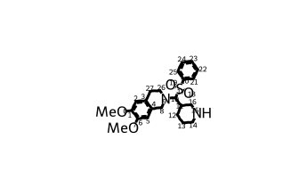 COc1cc2c(cc1OC)CN(C(C1CCCNC1)S(=O)(=O)c1ccccc1)CC2